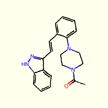 CC(=O)N1CCN(c2ccccc2/C=C/c2n[nH]c3ccccc23)CC1